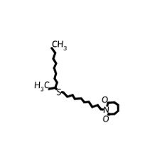 CCCCCCCCCC(CC)SCCCCCCCCCCN1C(=O)CCCCC1=O